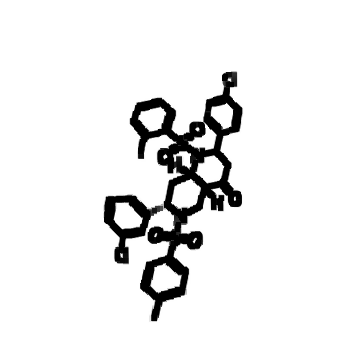 Cc1ccc(S(=O)(=O)N2C[C@H]3C(=O)CC(c4ccc(Cl)cc4)N(S(=O)(=O)c4ccccc4C)[C@H]3C[C@H]2c2cccc(Cl)c2)cc1